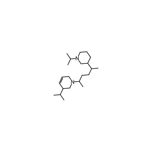 CC(C)C1C=CCN(C(C)CCC(C)C2CCCN(C(C)C)C2)C1